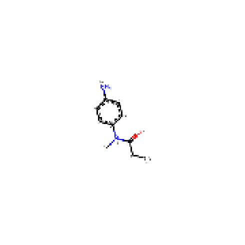 CN(C(=O)CC#N)c1ccc(N)cc1